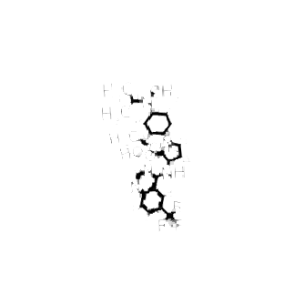 CC(C)N(C)[C@@H]1CC[C@H](N2CCC(Nc3ncnc4ccc(C(F)(F)F)cc34)C2=O)[C@H](C(C)(C)O)C1